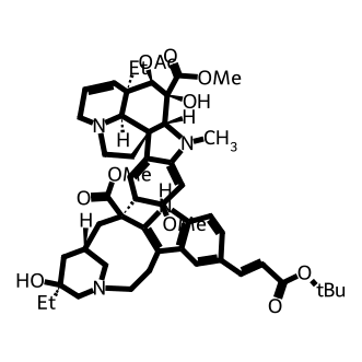 CC[C@]1(O)C[C@H]2CN(CCc3c([nH]c4ccc(/C=C/C(=O)OC(C)(C)C)cc34)[C@@](C(=O)OC)(C3C=C4C(=CC3OC)N(C)[C@H]3[C@@](O)(C(=O)OC)[C@H](OC(C)=O)[C@]5(CC)C=CCN6CC[C@]43[C@@H]65)C2)C1